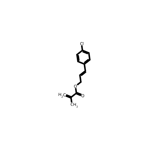 C=C(C)C(=O)OCC=Cc1ccc(Cl)cc1